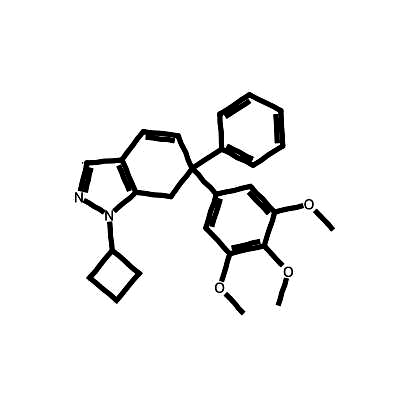 COc1cc(C2(c3ccccc3)C=Cc3[c]nn(C4CCC4)c3C2)cc(OC)c1OC